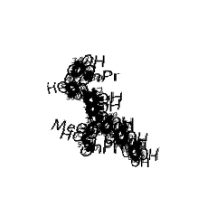 CCCC(=O)O[C@H](C)[C@H](O)C(=O)[C@@H](OC)[C@@H]1Cc2cc3cc(O[C@H]4C[C@@H](O[C@H]5C[C@@H](OC(=O)CCC)[C@H](O)C(C)O5)[C@H](O)C(C)O4)c(C)c(O)c3c(O)c2C(=O)[C@H]1O[C@H]1C[C@@H](O[C@H]2C[C@@H](O[C@H]3C[C@](C)(O)[C@H](O)C(C)O3)[C@@H](O)C(C)O2)[C@H](O)C(C)O1